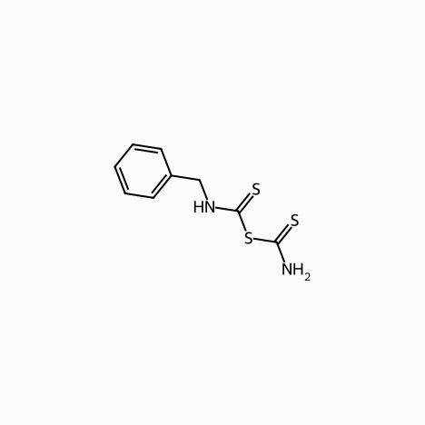 NC(=S)SC(=S)NCc1ccccc1